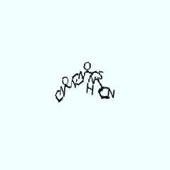 O=C(CN1CCN(C(=O)C2CSC(c3cccnc3)N2)CC1)N1CCCC1